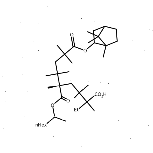 CCCCCCC(C)OC(=O)[C@@](C)(CC(C)(C)C(C)(CC)C(=O)O)C(C)(C)CC(C)(C)C(=O)OC1CC2CCC1(C)C2(C)C